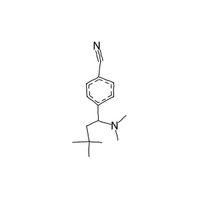 CN(C)C(CC(C)(C)C)c1ccc(C#N)cc1